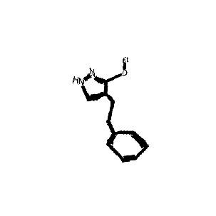 CCOc1n[nH]cc1CCc1ccccc1